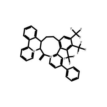 C=C1C2C(CCc3cc(C(F)(F)F)c(C(F)(F)F)c(C(F)(F)F)c3-c3cc(-c4ccccc4)cc[n+]31)c1ccccc1-c1cccc[n+]12